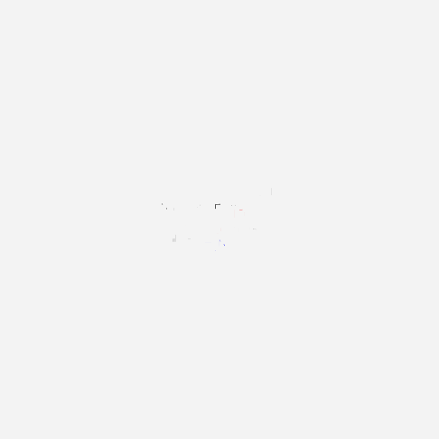 CCCCCCCCCCN.CCCCCCCCCCOCCCCCCCCCC.O=S(=O)(O)O.O=S(=O)([O-])O.[Na+]